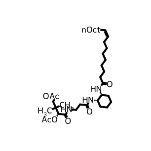 CCCCCCCC/C=C\CCCCCCCC(=O)N[C@H]1CCCC[C@@H]1NC(=O)CCNC(=O)[C@@H](OC(C)=O)C(C)(C)COC(C)=O